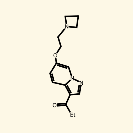 CCC(=O)c1cnn2cc(OCCN3CCC3)ccc12